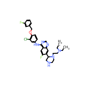 CCN(CC)CCN1CCNCC1c1cc2ncnc(Nc3ccc(OCc4cccc(F)c4)c(Cl)c3)c2cc1F